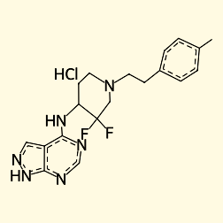 Cc1ccc(CCN2CCC(Nc3ncnc4[nH]ncc34)C(F)(F)C2)cc1.Cl